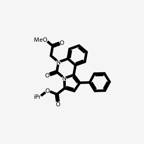 COC(=O)Cn1c(=O)n2c(C(=O)OC(C)C)cc(-c3ccccc3)c2c2ccccc21